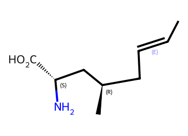 C/C=C/C[C@@H](C)C[C@H](N)C(=O)O